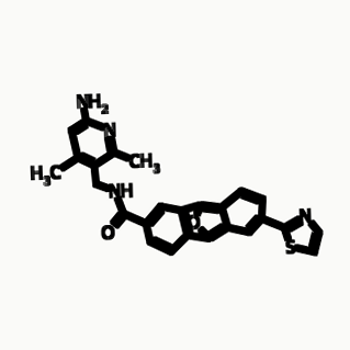 Cc1cc(N)nc(C)c1CNC(=O)c1ccc2c(c1)c1oc2c2cc(-c3nccs3)ccc21